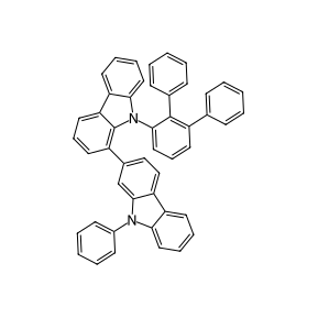 c1ccc(-c2cccc(-n3c4ccccc4c4cccc(-c5ccc6c7ccccc7n(-c7ccccc7)c6c5)c43)c2-c2ccccc2)cc1